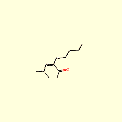 CCCCCC(=CC(C)C)C(C)=O